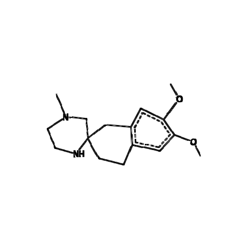 COc1cc2c(cc1OC)CC1(CC2)CN(C)CCN1